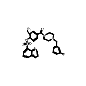 NCc1cc(C(=O)N2CCN(Cc3cccc(F)c3)CC2)ccc1NS(=O)(=O)c1cccc2cccnc12